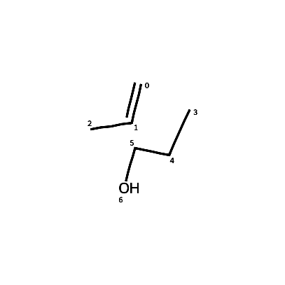 C=CC.CCCO